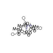 C\C=C/C(OC(=O)CCC1CCCCC1)=C(\C=C\c1c2n(c3c(=O)oc4cc(OC(=O)CCC5CCCCC5)c(OC)cc4c13)CCc1cc(OC(=O)CCC3CCCCC3)c(OC)cc1-2)OC